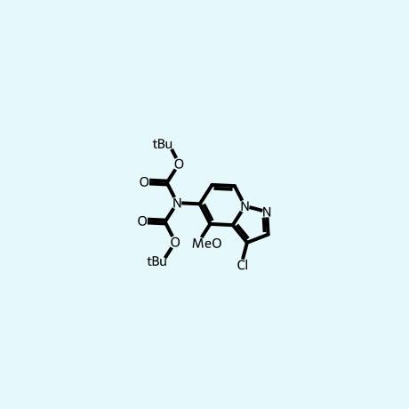 COc1c(N(C(=O)OC(C)(C)C)C(=O)OC(C)(C)C)ccn2ncc(Cl)c12